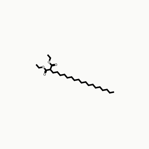 CCCCCCCCCCCCCCCCCCC(C(=O)OCC)C(=O)OCC